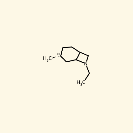 CCN1CC2CC[C@@H](C)CC21